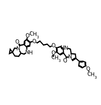 COc1ccc(C2=CN3C(=O)c4cc(OC)c(OCCCCCOc5cc6c(cc5OC)C(=O)N5CC7(CCC5CN6)CC7)cc4NCC3C2)cc1